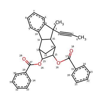 CC#CC1(C)c2ccccc2C2C3CC(C(OC(=O)c4ccccc4)C3OC(=O)c3ccccc3)C21